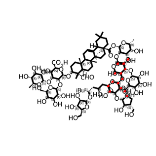 CC[C@H](C)[C@H](C[C@H](O)CC(=O)O[C@H]1[C@@H](O)[C@@H](C)O[C@@H](OC(=O)[C@]23CCC(C)(C)C[C@H]2C2=CCC4[C@@]5(C)CC[C@H](O[C@@H]6O[C@H](C(=O)O)[C@@H](O)[C@H](O[C@@H]7O[C@@H](C)[C@H](O)[C@@H](O)[C@H]7O)[C@H]6O[C@@H]6O[C@H](CO)[C@H](O)[C@H](O)[C@H]6O)[C@@](C)(C=O)[C@@H]5CC[C@@]4(C)[C@]2(C)CC3)[C@@H]1O[C@@H]1O[C@@H](C)[C@H](O[C@@H]2OC[C@@H](O)[C@H](O[C@@H]3OC[C@H](CO)[C@H]3O)[C@H]2O)[C@@H](O[C@@H]2O[C@H](CO)[C@@H](O)[C@H](O)[C@H]2O)[C@H]1O)OC(=O)C[C@@H](O)C[C@H](O[C@@H]1O[C@@H](CO)[C@H](O)[C@H]1O)[C@@H](C)CC